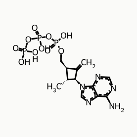 C=C1[C@@H](n2cnc3c(N)ncnc32)[C@H](C)[C@H]1COP(=O)(O)OP(=O)(O)OP(=O)(O)O